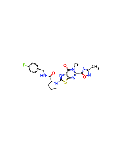 CCn1c(-c2nc(C)no2)nc2sc(N3CCCC3C(=O)NCc3ccc(F)cc3)nc2c1=O